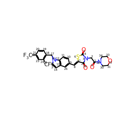 O=C(CN1C(=O)S/C(=C\c2ccc3c(ccn3Cc3ccc(C(F)(F)F)cc3C(F)(F)F)c2)C1=O)N1CCOCC1